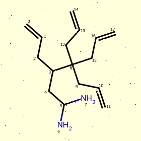 C=CCC(CC(N)N)C(CC=C)(CC=C)CC=C